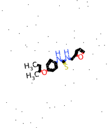 CCC(C)Oc1ccc(NC(=S)NCc2ccco2)cc1